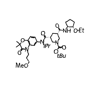 CCO[C@H]1CCC[C@@H]1NC(=O)[C@H]1C[C@@H](C(=O)N(c2ccc3c(c2)N(CCCOC)C(=O)C(C)(C)O3)C(C)C)CN(C(=O)OC(C)(C)C)C1